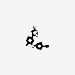 C#Cc1ccc(Oc2cc(C3CC(Br)=NO3)ccc2C)cc1